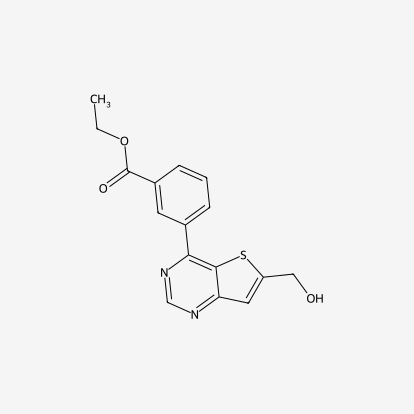 CCOC(=O)c1cccc(-c2ncnc3cc(CO)sc23)c1